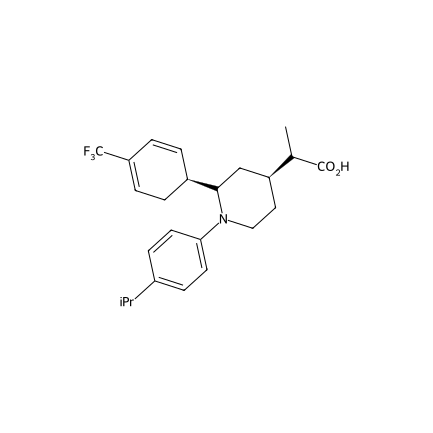 CC(C)c1ccc(N2CC[C@H](C(C)C(=O)O)CC2[C@@H]2C=CC(C(F)(F)F)=CC2)cc1